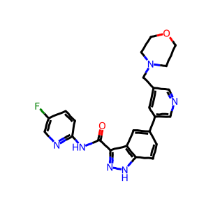 O=C(Nc1ccc(F)cn1)c1n[nH]c2ccc(-c3cncc(CN4CCOCC4)c3)cc12